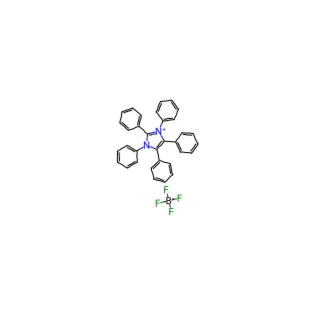 F[B-](F)(F)F.c1ccc(-c2c(-c3ccccc3)[n+](-c3ccccc3)c(-c3ccccc3)n2-c2ccccc2)cc1